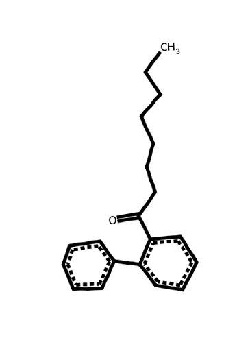 CCCCCCCC(=O)c1ccccc1-c1ccccc1